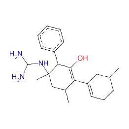 CC1CCC=C(C2=C(O)C(c3ccccc3)C(C)(NC(N)N)CC2C)C1